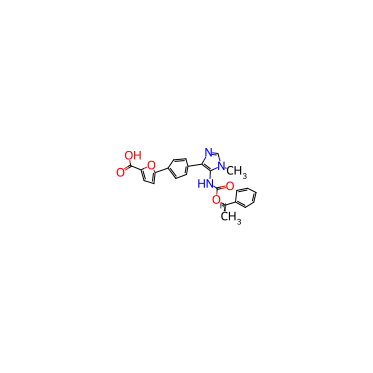 C[C@@H](OC(=O)Nc1c(-c2ccc(-c3ccc(C(=O)O)o3)cc2)ncn1C)c1ccccc1